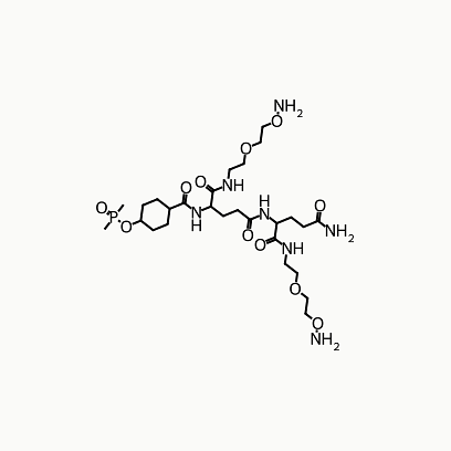 CP(C)(=O)OC1CCC(C(=O)NC(CCC(=O)NC(CCC(N)=O)C(=O)NCCOCCON)C(=O)NCCOCCON)CC1